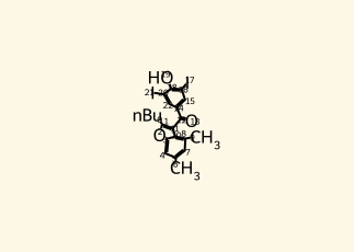 CCCCc1oc2cc(C)cc(C)c2c1C(=O)c1cc(I)c(O)c(I)c1